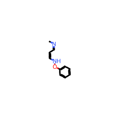 C/N=C\C=C/NOc1ccccc1